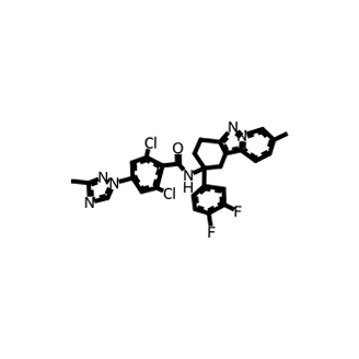 Cc1ccc2c3c(nn2c1)CCC(NC(=O)c1c(Cl)cc(-n2cnc(C)n2)cc1Cl)(c1ccc(F)c(F)c1)C3